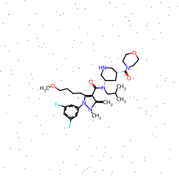 C=C1C(C(=O)N(CC(C)C)[C@@H]2CNC[C@H](C(=O)N3CCOCC3)C2)=C(CCCCOC)N(c2cc(F)cc(F)c2)N1C